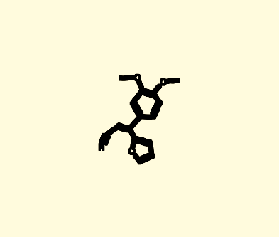 COc1ccc(C(=CC#N)c2ccco2)cc1OC